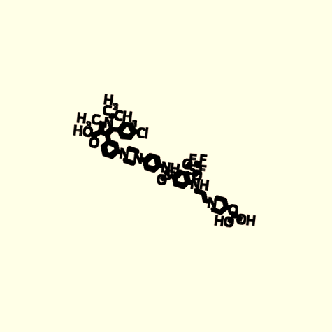 Cc1c(C(=O)O)c(-c2cccc(N3CCN(c4ccc(N[S+]([O-])c5ccc(NCCCN6CCC(OP(O)O)CC6)c(S(=O)(=O)C(F)(F)F)c5)cc4)CC3)c2)c(-c2ccc(Cl)cc2)n1C(C)C